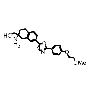 COCCOc1ccc(-c2nnc(-c3ccc4c(c3)CC(N)(CO)CC4)o2)cc1